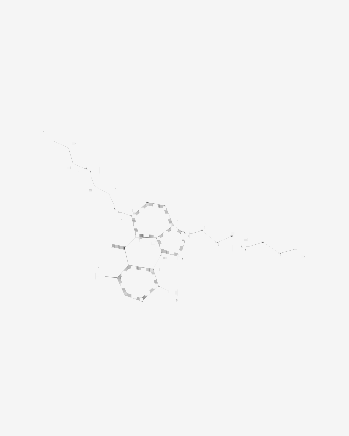 O=C1c2c(O)ccc(O)c2-c2nn(CCCNCCO)c3ccc(NCCNCCO)c1c23